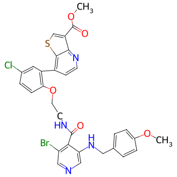 COC(=O)c1csc2c(-c3cc(Cl)ccc3OCCNC(=O)c3c(Br)cncc3NCc3ccc(OC)cc3)ccnc12